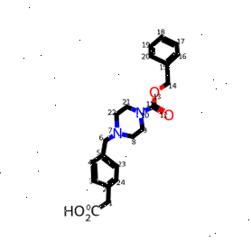 O=C(O)Cc1ccc(CN2CCN(C(=O)OCc3ccccc3)CC2)cc1